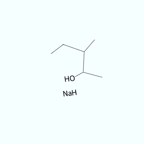 CCC(C)C(C)O.[NaH]